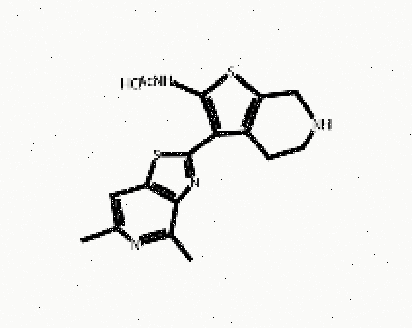 CC(=O)Nc1sc2c(c1-c1nc3c(C)nc(C)cc3s1)CCNC2.Cl